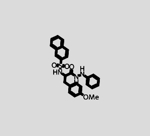 COc1ccc(CC(NS(=O)(=O)c2ccc3ccccc3c2)C(=O)NNc2ccccc2)cc1